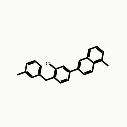 Cc1cccc(Cc2ccc(-c3ccc4c(C)cccc4c3)cc2Cl)c1